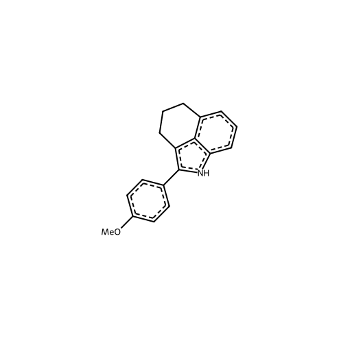 COc1ccc(-c2[nH]c3cccc4c3c2CCC4)cc1